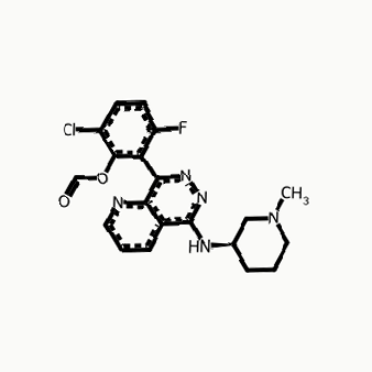 CN1CCC[C@@H](Nc2nnc(-c3c(F)ccc(Cl)c3OC=O)c3ncccc23)C1